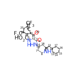 O=C(O)NC(C(=O)N[C@H]1CCN[C@H](Cc2ccccc2)C1)C(=O)c1cc(C(F)(F)F)cc(C(F)(F)F)c1